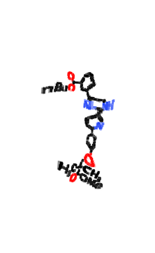 CCCCOC(=O)c1cccc(-c2c[nH]c(-c3ccc(-c4ccc(OCC(C)(C)C(=O)OC)cc4)nc3)n2)c1